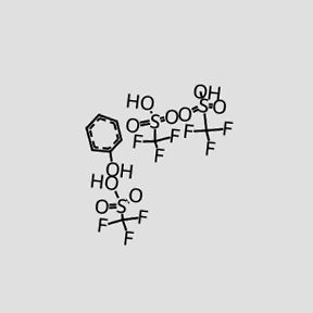 O=S(=O)(O)C(F)(F)F.O=S(=O)(O)C(F)(F)F.O=S(=O)(O)C(F)(F)F.Oc1ccccc1